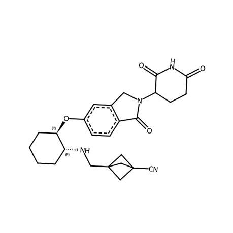 N#CC12CC(CN[C@@H]3CCCC[C@H]3Oc3ccc4c(c3)CN(C3CCC(=O)NC3=O)C4=O)(C1)C2